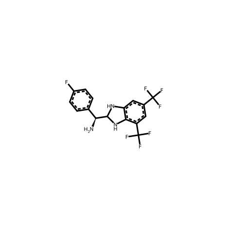 N[C@@H](c1ccc(F)cc1)C1Nc2cc(C(F)(F)F)cc(C(F)(F)F)c2N1